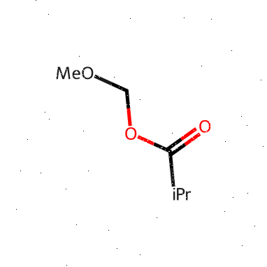 COCOC(=O)C(C)C